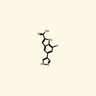 O=C(O)c1cc2cc(-c3cn[nH]c3)cc(Cl)c2[nH]1